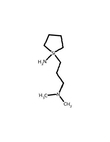 CN(C)CCC[Si]1(N)CCCC1